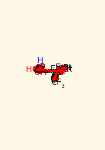 CCN(CC)c1ccc2c(-c3ccccc3C(=O)SCC(CCCCCCCCCCCCCCCCCO[C@H]3[C@@H](O)[C@@H](CO)O[C@H]3n3ccc(=O)[nH]c3=O)OCCCC(F)(F)C(F)(F)C(F)(F)C(F)(F)C(F)(F)C(F)(F)F)c3ccc(=[N+](CC)CC)cc-3oc2c1